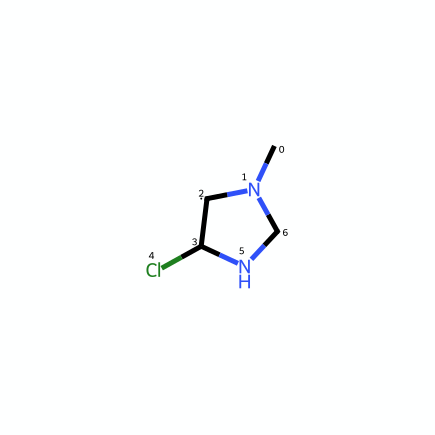 CN1[CH]C(Cl)NC1